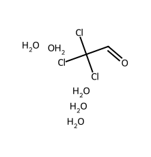 O.O.O.O.O.O=CC(Cl)(Cl)Cl